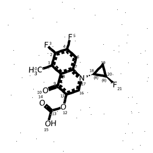 Cc1c(F)c(F)cc2c1c(=O)c(OC(=O)O)cn2[C@@H]1C[C@H]1F